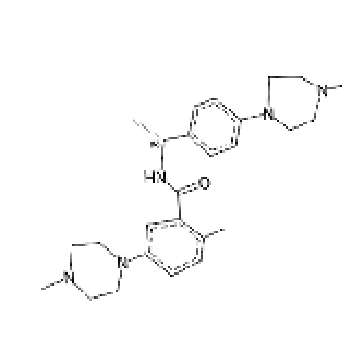 Cc1ccc(N2CCN(C)CC2)cc1C(=O)N[C@H](C)c1ccc(N2CCN(C)CC2)cc1